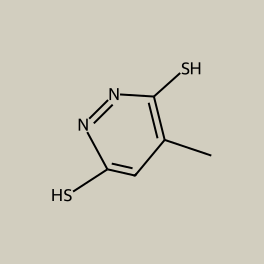 Cc1cc(S)nnc1S